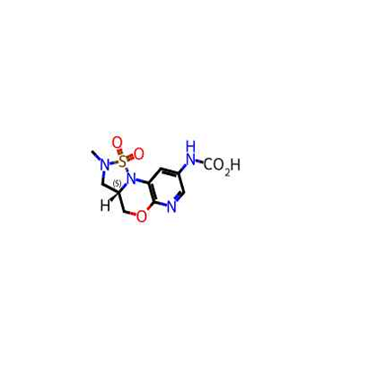 CN1C[C@H]2COc3ncc(NC(=O)O)cc3N2S1(=O)=O